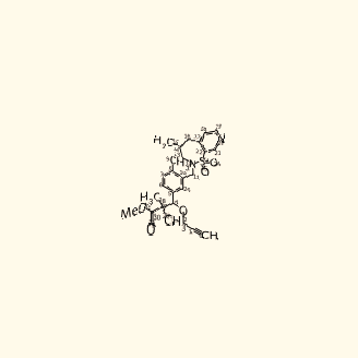 C#CCOC(c1ccc(C)c(CN2C[C@@H](C)Cc3ccncc3S2(=O)=O)c1)C(C)(C)C(=O)OC